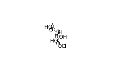 CCCC(CC[C@@H]1CC[C@@H]2[C@@H](CCC(O)COc3cccc(Cl)c3)[C@H](O)C[C@@H]2OC1)C(=O)O